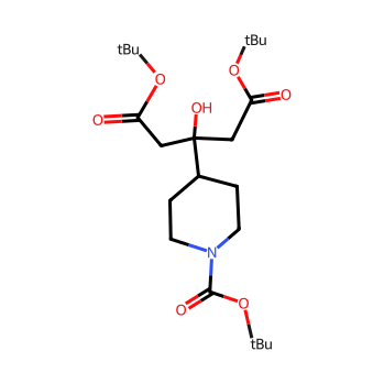 CC(C)(C)OC(=O)CC(O)(CC(=O)OC(C)(C)C)C1CCN(C(=O)OC(C)(C)C)CC1